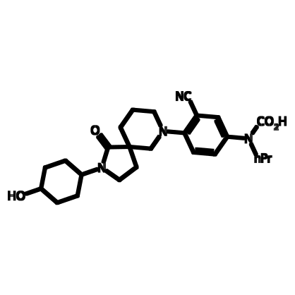 CCCN(C(=O)O)c1ccc(N2CCCC3(CCN(C4CCC(O)CC4)C3=O)C2)c(C#N)c1